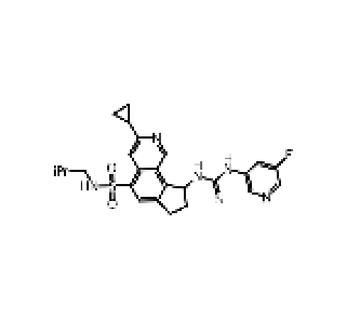 CC(C)CNS(=O)(=O)c1cc2c(c3cnc(C4CC4)cc13)C(NC(=S)Nc1cncc(F)c1)CC2